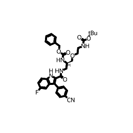 CC(C)(C)OC(=O)NCCOC[C@@H](CNC(=O)c1[nH]c2ccc(F)cc2c1-c1ccc(C#N)cc1)NC(=O)OCc1ccccc1